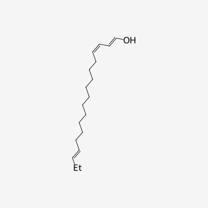 CCC=CCCCCCCCCCC/C=C\C=CO